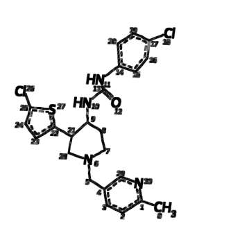 Cc1ccc(CN2CCC(NC(=O)Nc3ccc(Cl)cc3)C(c3ccc(Cl)s3)C2)cn1